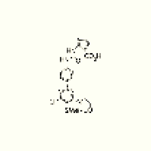 CSc1c(Cl)nc(-c2ccc(NC(=O)Nc3sccc3C(=O)O)cc2)nc1N1CCOCC1